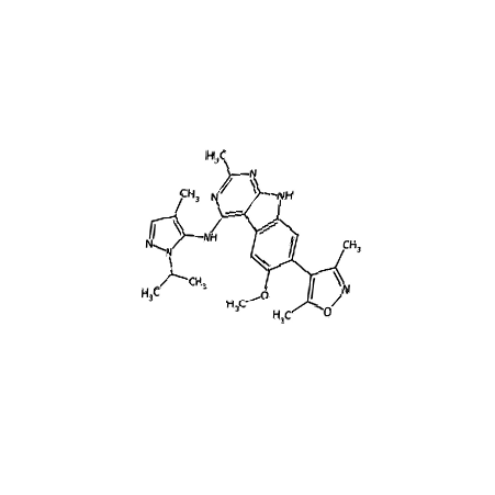 COc1cc2c(cc1-c1c(C)noc1C)[nH]c1nc(C)nc(Nc3c(C)cnn3C(C)C)c12